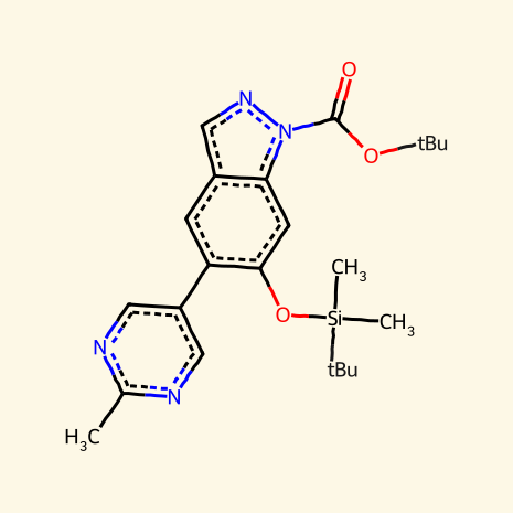 Cc1ncc(-c2cc3cnn(C(=O)OC(C)(C)C)c3cc2O[Si](C)(C)C(C)(C)C)cn1